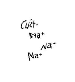 [Cu+2].[Na+].[Na+].[Na+]